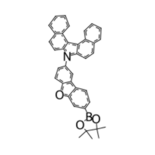 CC1(C)OB(c2ccc3c(c2)oc2ccc(-n4c5ccc6ccccc6c5c5c6ccccc6ccc54)cc23)OC1(C)C